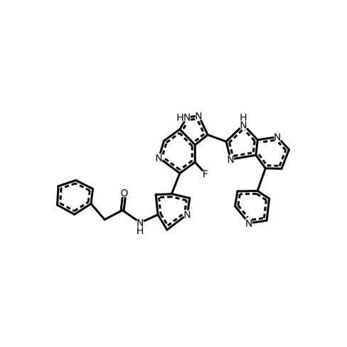 O=C(Cc1ccccc1)Nc1cncc(-c2ncc3[nH]nc(-c4nc5c(-c6ccncc6)ccnc5[nH]4)c3c2F)c1